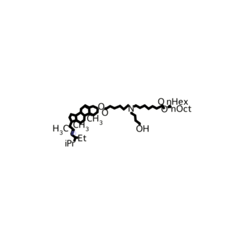 CCCCCCCCC(CCCCCC)OC(=O)CCCCCCN(CCCCO)CCCCCC(=O)OC1CCC2(C)C(=CCC3C2CCC2(C)C(C(C)/C=C/C(CC)C(C)C)CCC32)C1